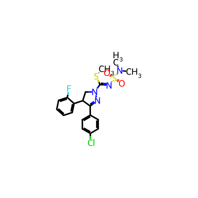 CSC(=NS(=O)(=O)N(C)C)N1CC(c2ccccc2F)C(c2ccc(Cl)cc2)=N1